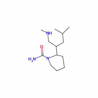 CNCC(CC(C)C)C1CCCCN1C(N)=O